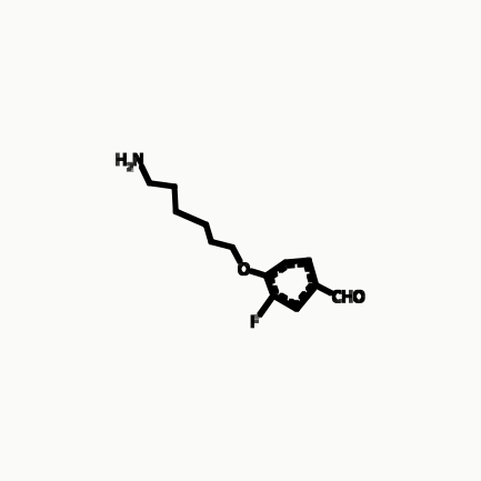 NCCCCCCOc1ccc(C=O)cc1F